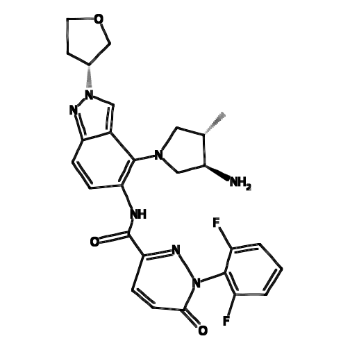 C[C@H]1CN(c2c(NC(=O)c3ccc(=O)n(-c4c(F)cccc4F)n3)ccc3nn([C@@H]4CCOC4)cc23)C[C@@H]1N